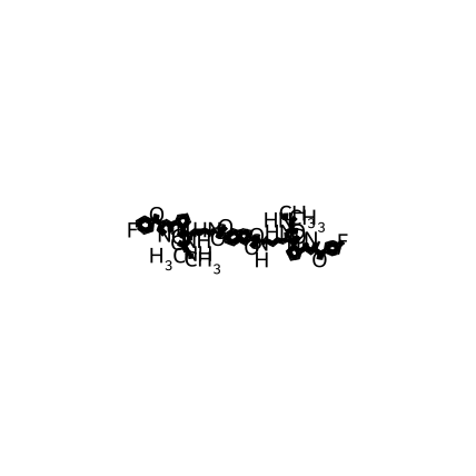 CNC(C)C(=O)NC(CCCCNS(=O)(=O)c1ccc2cc(S(=O)(=O)NCCCCC(NC(=O)C(C)NC)C(=O)N3CCCC3c3cncc(C(=O)c4ccc(F)cc4)c3)ccc2c1)C(=O)N1CCCC1c1cncc(C(=O)c2ccc(F)cc2)c1